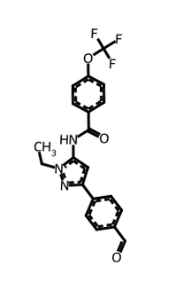 CCn1nc(-c2ccc(C=O)cc2)cc1NC(=O)c1ccc(OC(F)(F)F)cc1